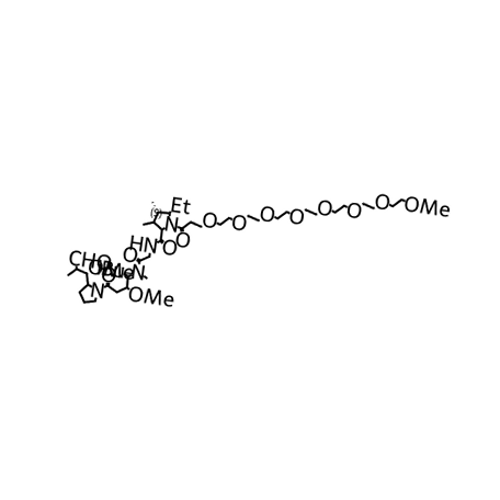 CCC(C)C(C(CC(=O)N1CCCC1C(OC)C(C)C=O)OC)N(C)C(=O)CNC(=O)C1C(C)[C@H](C)C(CC)N1C(=O)CCOCCOCCOCCOCCOCCOCCOCCOC